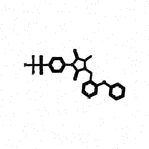 CC1C(=O)N(c2ccc(S(=O)(=O)C(F)(F)F)cc2)C(=O)N1Cc1ccncc1Oc1ccccc1